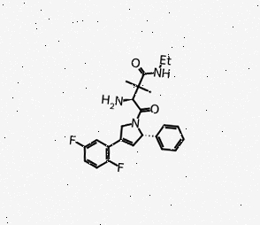 CCNC(=O)C(C)(C)[C@H](N)C(=O)N1CC(c2cc(F)ccc2F)=C[C@H]1c1ccccc1